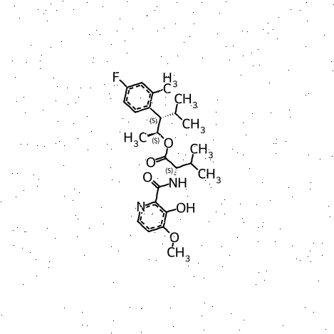 COc1ccnc(C(=O)N[C@H](C(=O)O[C@@H](C)[C@H](c2ccc(F)cc2C)C(C)C)C(C)C)c1O